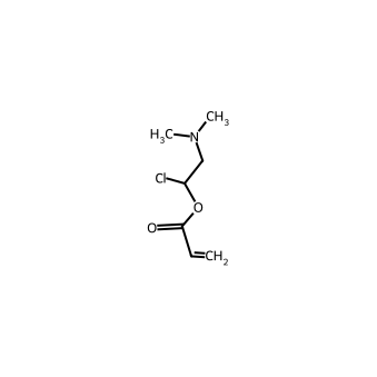 C=CC(=O)OC(Cl)CN(C)C